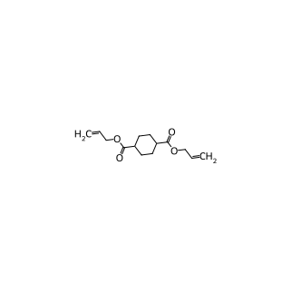 C=CCOC(=O)C1CCC(C(=O)OCC=C)CC1